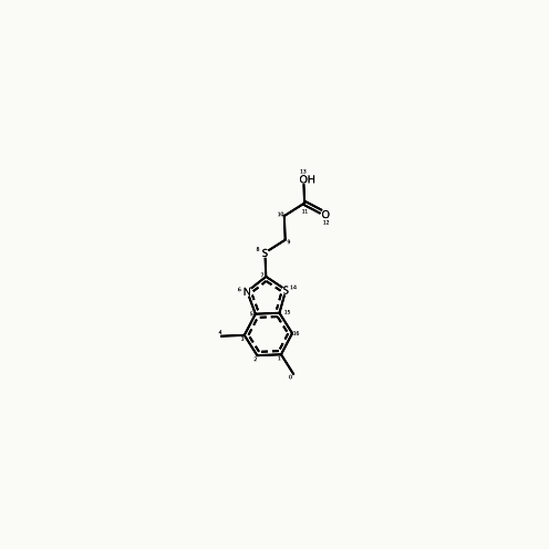 Cc1cc(C)c2nc(SCCC(=O)O)sc2c1